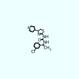 C[C@H](NC(=O)NC1=NC(c2ccncc2)CS1)c1cccc(Cl)c1